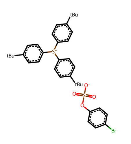 CC(C)(C)c1ccc([S+](c2ccc(C(C)(C)C)cc2)c2ccc(C(C)(C)C)cc2)cc1.O=S(=O)([O-])Oc1ccc(Br)cc1